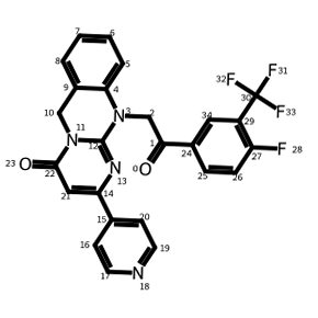 O=C(CN1c2ccccc2Cn2c1nc(-c1ccncc1)cc2=O)c1ccc(F)c(C(F)(F)F)c1